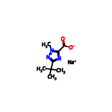 Cn1nc(C(C)(C)C)nc1C(=O)[O-].[Na+]